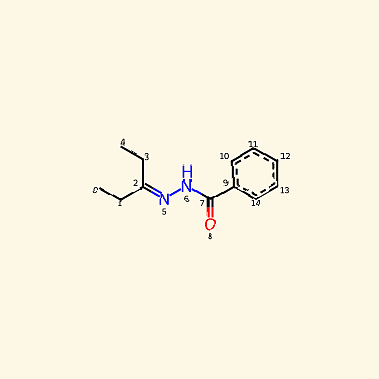 CCC(CC)=NNC(=O)c1ccccc1